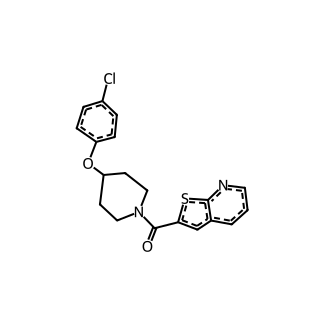 O=C(c1cc2cccnc2s1)N1CCC(Oc2ccc(Cl)cc2)CC1